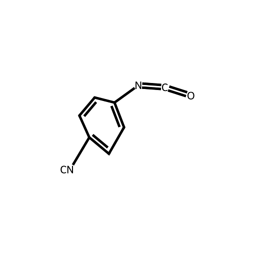 [C-]#[N+]c1ccc(N=C=O)cc1